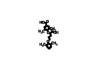 Cc1cccc(C)c1OCCCC(Oc1c(C)cc(C(=O)O)cc1C)C(=O)O